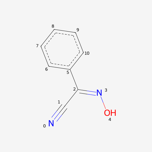 N#CC(=NO)c1ccccc1